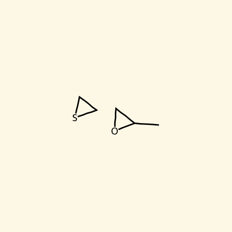 C1CS1.CC1CO1